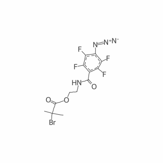 CC(C)(Br)C(=O)OCCNC(=O)c1c(F)c(F)c(N=[N+]=[N-])c(F)c1F